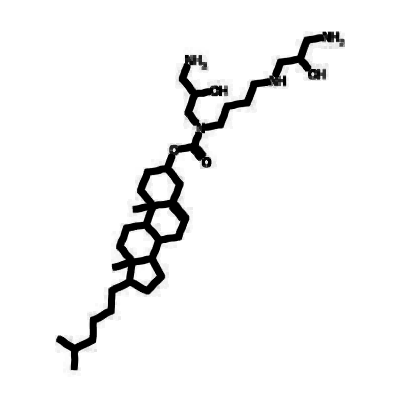 CC(C)CCCCC1CCC2C3CC=C4CC(OC(=O)N(CCCCNCC(O)CN)CC(O)CN)CCC4(C)C3CCC12C